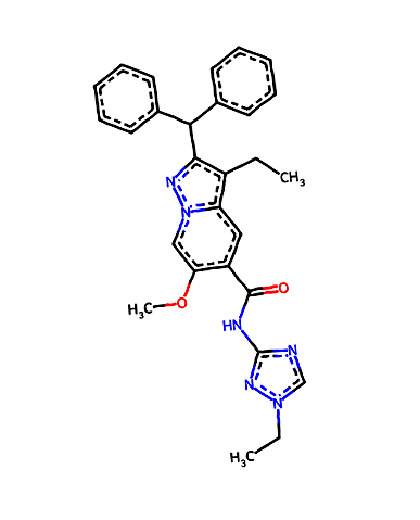 CCc1c(C(c2ccccc2)c2ccccc2)nn2cc(OC)c(C(=O)Nc3ncn(CC)n3)cc12